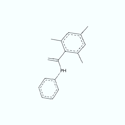 C=C(Pc1ccccc1)c1c(C)cc(C)cc1C